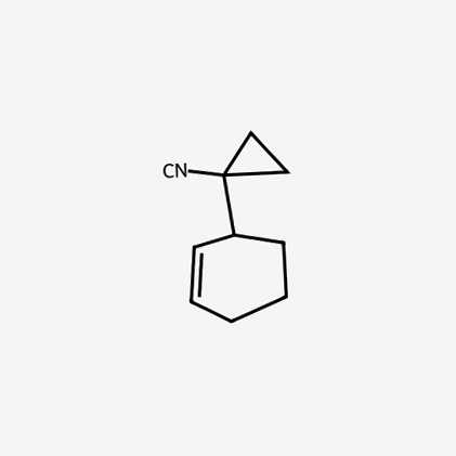 [C-]#[N+]C1(C2C=CCCC2)CC1